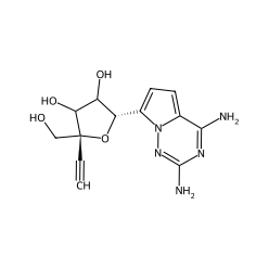 C#C[C@]1(CO)O[C@@H](c2ccc3c(N)nc(N)nn23)C(O)C1O